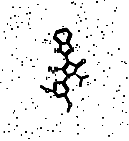 COc1cc(OC)cc(N2C(N)=C(c3nc4ccccc4[nH]3)C(=O)[C@@H]2C(C)C)c1